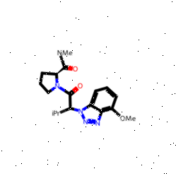 CNC(=O)[C@@H]1CCCN1C(=O)C(C(C)C)n1nnc2c(OC)cccc21